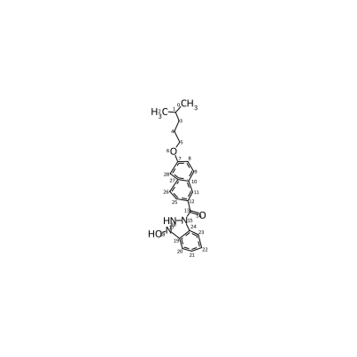 CC(C)CCCOc1ccc2cc(C(=O)N3NN(O)c4ccccc43)ccc2c1